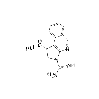 CC1CN(C(=N)N)c2ncc3ccccc3c21.Cl